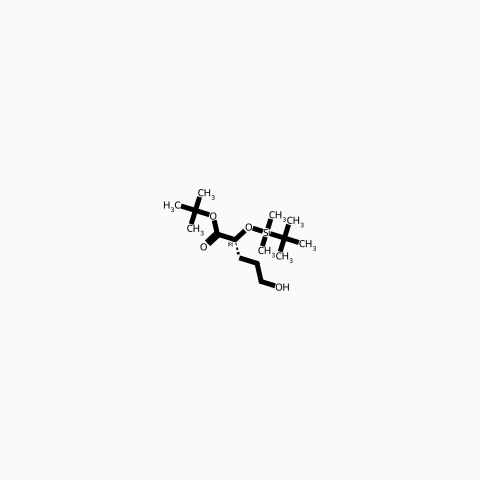 CC(C)(C)OC(=O)[C@@H](CCCO)O[Si](C)(C)C(C)(C)C